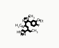 C=N/C(=C\C(=C/C)c1c[nH]nn1)c1ncn(C)c1-c1ccc(F)c(OCC)c1